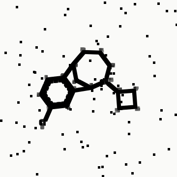 Clc1ccc2c(c1)C1CC2CCCN1C1CCC1